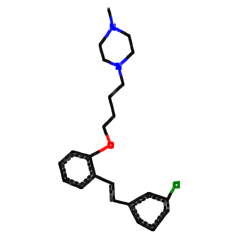 CN1CCN(CCCCOc2ccccc2C=Cc2cccc(Cl)c2)CC1